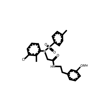 COc1cccc(CCNC(=O)CN(c2cccc(Cl)c2C)S(=O)(=O)c2ccc(C)cc2)c1